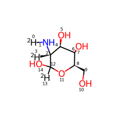 [2H]N[C@]1([2H])[C@@H](O)[C@@H](O)[C@@H](CO)OC1([2H])O